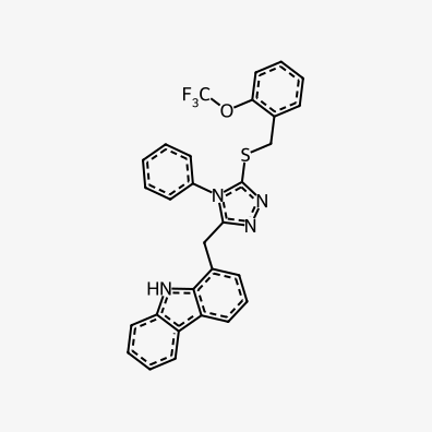 FC(F)(F)Oc1ccccc1CSc1nnc(Cc2cccc3c2[nH]c2ccccc23)n1-c1ccccc1